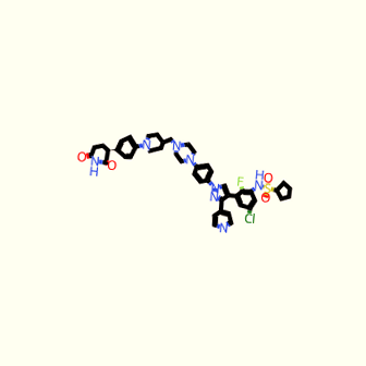 O=C1CC[C@H](c2ccc(N3CCC(CN4CCN(c5ccc(-n6cc(-c7cc(Cl)cc(NS(=O)(=O)C8CCCC8)c7F)c(-c7ccncc7)n6)cc5)CC4)CC3)cc2)C(=O)N1